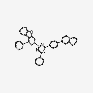 c1ccc(-c2nc(-c3ccc(-c4ccc5ccccc5c4)cc3)nc(-c3cc(-c4ccccc4)c4c(c3)oc3ccccc34)n2)cc1